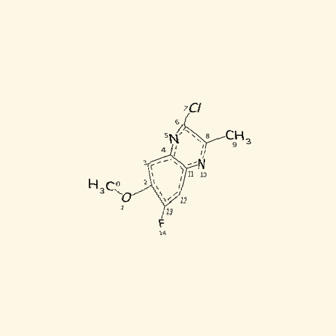 COc1cc2nc(Cl)c(C)nc2cc1F